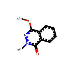 CCCOc1nn(CCC)c(=O)c2ccccc12